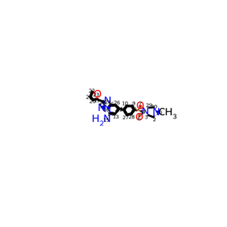 CN1CCN(S(=O)(=O)c2ccc(-c3cc(N)n4nc(-c5ccco5)nc4c3)cc2)CC1